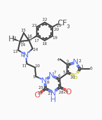 Cc1nc(C)c(-c2nn(CCCN3C[C@@H]4C[C@]4(c4ccc(C(F)(F)F)cc4)C3)c(=O)[nH]c2=O)s1